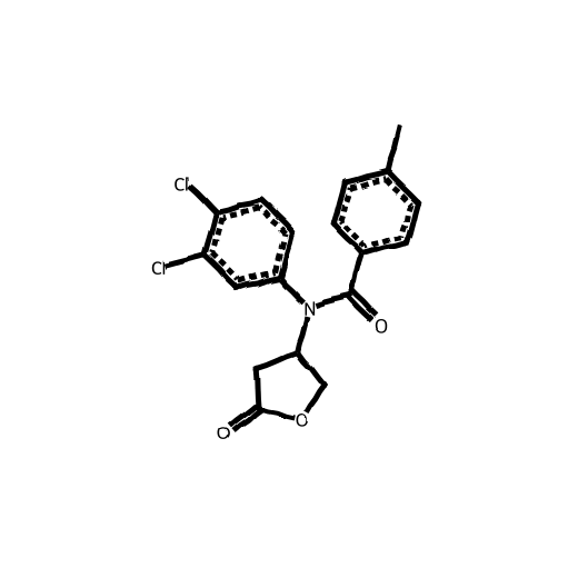 Cc1ccc(C(=O)N(c2ccc(Cl)c(Cl)c2)C2COC(=O)C2)cc1